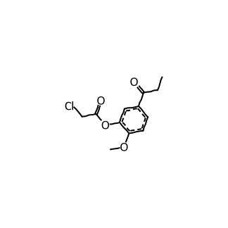 CCC(=O)c1ccc(OC)c(OC(=O)CCl)c1